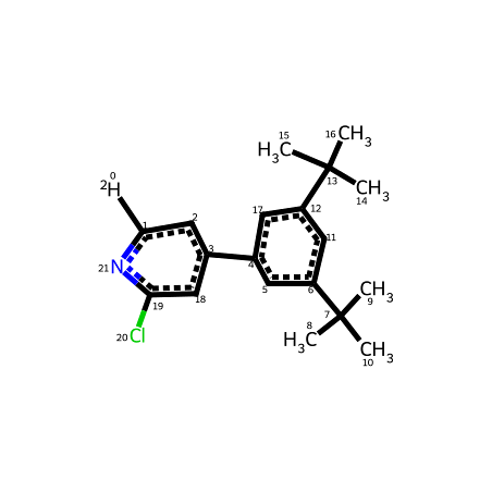 [2H]c1cc(-c2cc(C(C)(C)C)cc(C(C)(C)C)c2)cc(Cl)n1